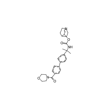 CC(C)(NC(=O)OC1CN2CCC1CC2)c1ccc(-c2ccc(C(=O)N3CCOCC3)cc2)cc1